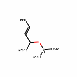 CCCCC=CC(CCCCC)O[SiH](OC)OC